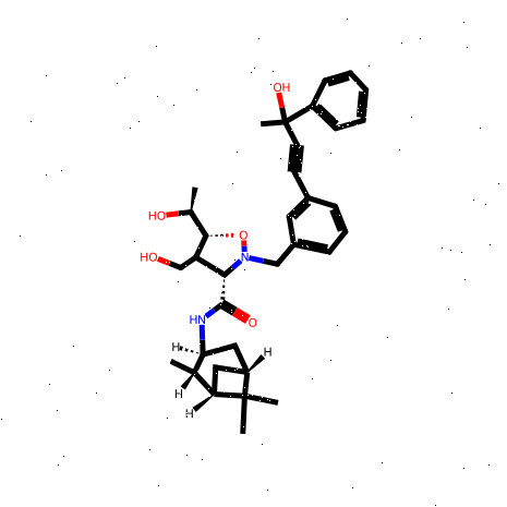 C[C@@H]1[C@@H](NC(=O)[C@@H]2C(CO)[C@H]([C@H](C)O)ON2Cc2cccc(C#CC(C)(O)c3ccccc3)c2)C[C@H]2C[C@@H]1C2(C)C